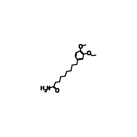 CCOc1cc(CCCCCCCCC(N)=O)ccc1OC